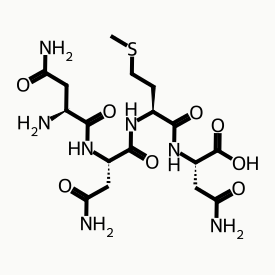 CSCC[C@H](NC(=O)[C@H](CC(N)=O)NC(=O)[C@@H](N)CC(N)=O)C(=O)N[C@@H](CC(N)=O)C(=O)O